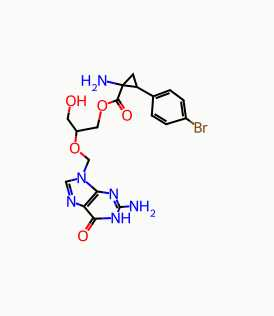 Nc1nc2c(ncn2COC(CO)COC(=O)C2(N)CC2c2ccc(Br)cc2)c(=O)[nH]1